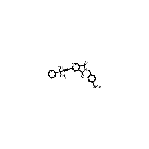 CSc1ccc(CN2C(=O)c3cnc(C#CC(C)(C)c4ccccc4)cc3C2=O)cc1